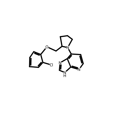 Clc1ccccc1OCC1CCCN1c1ccnc2[nH]cnc12